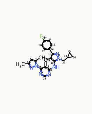 Cc1cc(C)n(-c2cc(Nc3c(C)c(-c4ccc(F)cc4)nn3CC3CC3)ncn2)n1